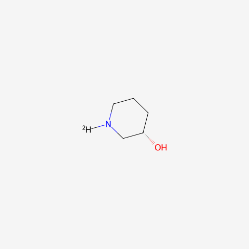 [2H]N1CCC[C@H](O)C1